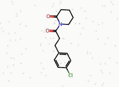 O=C1CCCCN1C(=O)CCc1ccc(Cl)cc1